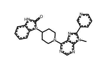 Cn1c(-c2cccnc2)nc2c(N3CCC(n4c(=O)[nH]c5ccccc54)CC3)ncnc21